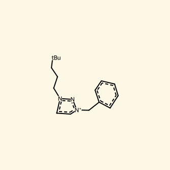 CC(C)(C)CCCn1cc[n+](Cc2ccccc2)n1